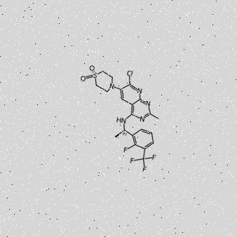 Cc1nc(N[C@H](C)c2cccc(C(F)(F)F)c2F)c2cc(N3CCS(=O)(=O)CC3)c(Cl)nc2n1